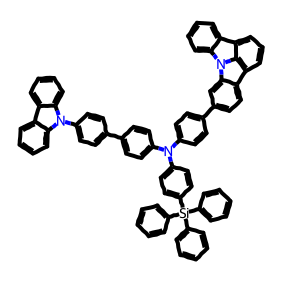 c1ccc([Si](c2ccccc2)(c2ccccc2)c2ccc(N(c3ccc(-c4ccc(-n5c6ccccc6c6ccccc65)cc4)cc3)c3ccc(-c4ccc5c6cccc7c8ccccc8n(c5c4)c76)cc3)cc2)cc1